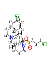 O=S(=O)(CCCCl)N1CCC[C@@H]2CN3CCc4cc(Cl)ccc4[C@@H]3C[C@@H]21